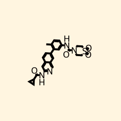 Cc1ccc(NC(=O)N2CCS(=O)(=O)CC2)cc1-c1ccc2cc(NC(=O)C3CC3)ncc2c1